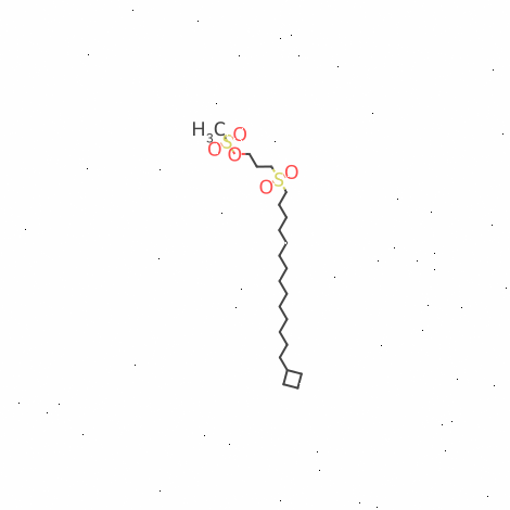 CS(=O)(=O)OCCCS(=O)(=O)CCCCCCCCCCCCCCC1CCC1